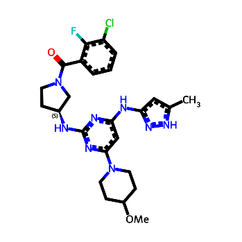 COC1CCN(c2cc(Nc3cc(C)[nH]n3)nc(N[C@H]3CCN(C(=O)c4cccc(Cl)c4F)C3)n2)CC1